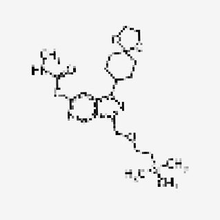 CNC(=O)Oc1cc2c(C3CCC4(CC3)OCCO4)nn(COCC[Si](C)(C)C)c2cn1